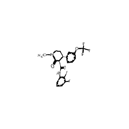 CN1CC[C@H](c2cccc(OC(F)(F)F)c2)[C@@H](C(=O)Nc2cccc(F)c2F)C1=O